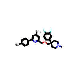 CN1CCC(COCc2cc(C(F)(F)F)cc(-c3ccc(C#N)cc3)n2)(c2ccc(F)c(F)c2)CC1